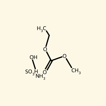 CCOC(=O)OC.N.O=S(=O)(O)O